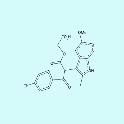 COc1ccc2[nH]c(C)c(C(C(=O)OCC(=O)O)C(=O)c3ccc(Cl)cc3)c2c1